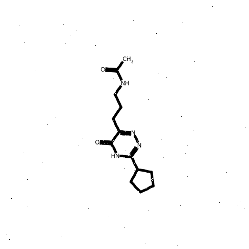 CC(=O)NCCCc1nnc(C2CCCC2)[nH]c1=O